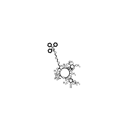 CC[C@H]1OC(=O)[C@H](C)[C@@H](O[C@H]2C[C@@](C)(OC)[C@@H](O)[C@H](C)O2)[C@H](C)[C@@H](O[C@@H]2O[C@H](C)C[C@H](N(C)C)[C@H]2O)[C@](C)(O)C[C@@H](C)CN(C(=O)CCOCCOCCOCC[PH](c2ccccc2)(c2ccccc2)c2ccccc2)[C@H](C)[C@@H](O)[C@]1(C)O